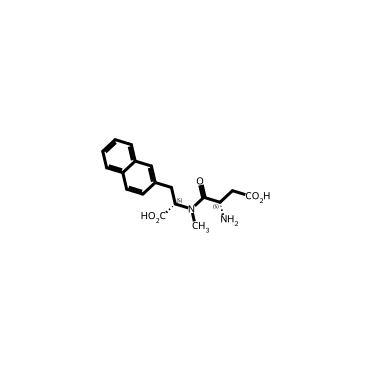 CN(C(=O)[C@@H](N)CC(=O)O)[C@@H](Cc1ccc2ccccc2c1)C(=O)O